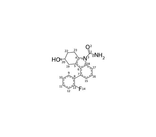 NC(=O)n1c2c(c3c(-c4ccccc4F)cccc31)CC(O)CC2